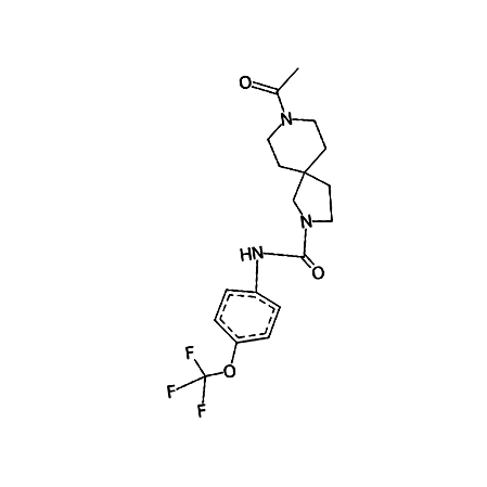 CC(=O)N1CCC2(CC1)CCN(C(=O)Nc1ccc(OC(F)(F)F)cc1)C2